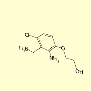 BCc1c(Cl)ccc(OCCO)c1N